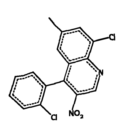 Cc1cc(Cl)c2ncc([N+](=O)[O-])c(-c3ccccc3Cl)c2c1